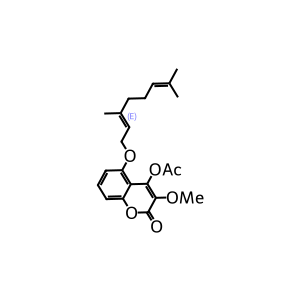 COc1c(OC(C)=O)c2c(OC/C=C(\C)CCC=C(C)C)cccc2oc1=O